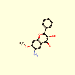 COc1cc2oc(-c3ccccc3)c(O)c(=O)c2cc1N